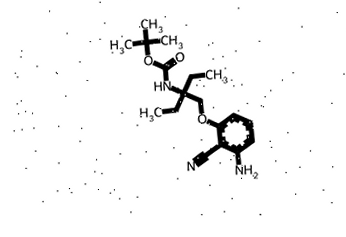 CCC(CC)(COc1cccc(N)c1C#N)NC(=O)OC(C)(C)C